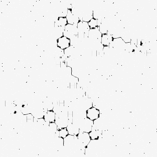 [C-]#[N+]c1cnn(-c2ccc(S(=O)(=O)NCCCNOOSc3ccc(-n4ncc(C#N)c4/N=N/c4c(C)nn(-c5nc(O)nc(NCCS(=O)(=O)O)n5)c4N)cc3)cc2)c1/N=N/c1c(C)nn(-c2nc(O)nc(CCNS(=O)(=O)O)n2)c1N